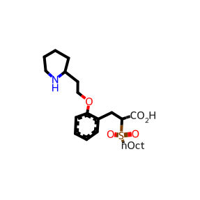 CCCCCCCCS(=O)(=O)C(Cc1ccccc1OCCC1CCCCN1)C(=O)O